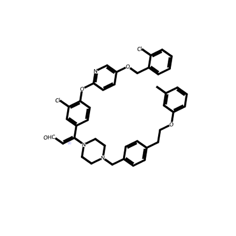 Cc1cccc(OCCc2ccc(CN3CCN(/C(=C/C=O)c4ccc(Oc5ccc(OCc6ccccc6Cl)cn5)c(Cl)c4)CC3)cc2)c1